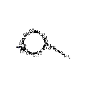 C=C1C(C)NC(=O)CN(C)C(=O)CN(C)C(=O)C(CC)NC(=O)C(C(O)C(C)C/C=C/C)N(C)C(=O)C(C)N(C)C(=O)C(CC)N(C)C(=O)CN(C)C(=O)C(C)N(CCOC(=O)NCCOCCOCCN)C(=O)C(C)NC(=O)CN1C